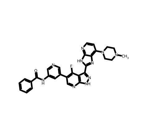 CN1CCN(c2ccnc3[nH]c(-c4n[nH]c5ncc(-c6cncc(NC(=O)c7ccccc7)c6)c(F)c45)nc23)CC1